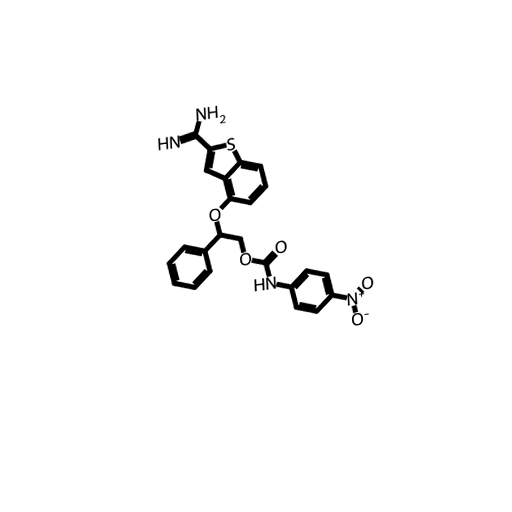 N=C(N)c1cc2c(OC(COC(=O)Nc3ccc([N+](=O)[O-])cc3)c3ccccc3)cccc2s1